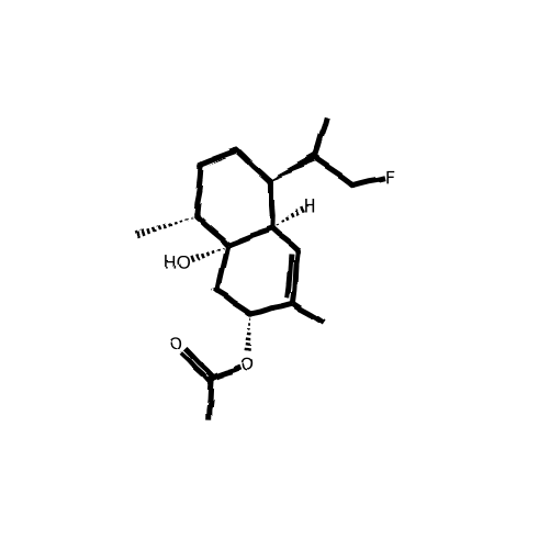 CC(=O)O[C@@H]1[CH][C@@]2(O)[C@H](C)CC[C@@H](C(C)CF)[C@H]2C=C1C